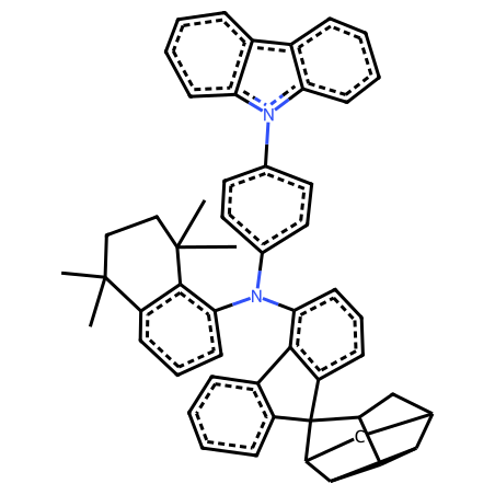 CC1(C)CCC(C)(C)c2c(N(c3ccc(-n4c5ccccc5c5ccccc54)cc3)c3cccc4c3-c3ccccc3C43C4CC5CC3C3C5C34)cccc21